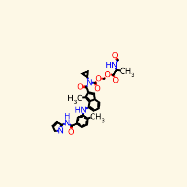 CC1=C2C(Nc3cc(C(=O)NC4=NCC=C4)ccc3C)=CC=CC2C=C1C(=O)N(C(=O)OCOC(=O)C(C)NC=O)C1CC1